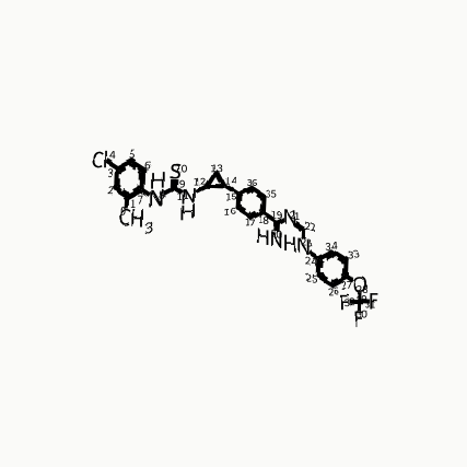 Cc1cc(Cl)ccc1NC(=S)NC1CC1c1ccc(C(=N)/N=C\Nc2ccc(OC(F)(F)F)cc2)cc1